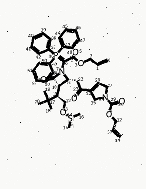 C=CCOC(=O)C(N1C(=O)[C@@H]([C@@H](CO[SiH](C)C)C(C)(C)C)[C@H]1CC(=O)C1=CCN(C(=O)OCC=C)C1)=P(c1ccccc1)(c1ccccc1)c1ccccc1